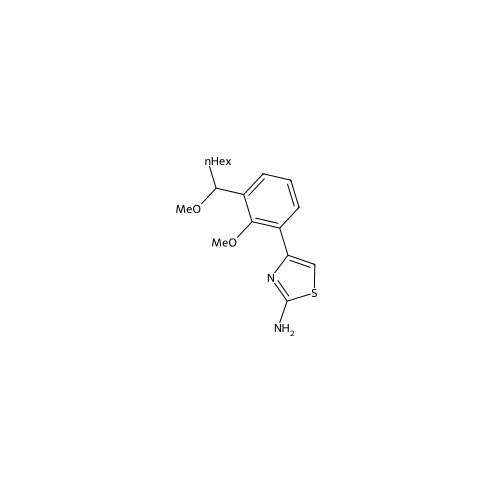 CCCCCCC(OC)c1cccc(-c2csc(N)n2)c1OC